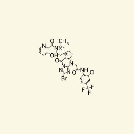 C[C@@H]1C[C@@]2(CCc3c2c(=O)n2nc(Br)nc2n3CC(=O)Nc2ccc(C(F)(F)F)cc2Cl)CCN1C(=O)c1ncccc1O